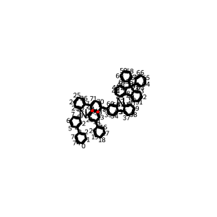 c1ccc(-c2cccc(N(c3cccc(-c4ccccc4)c3)c3ccccc3-c3ccc(-c4ccc5c6ccccc6n(-c6cccc7c6-c6ccccc6C7(c6ccccc6)c6ccccc6)c5c4)cc3)c2)cc1